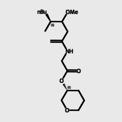 C=C(CC(OC)[C@@H](C)CCCC)NCC(=O)O[C@@H]1CCCOC1